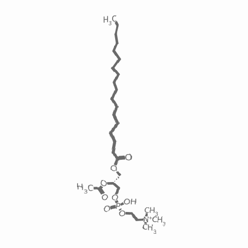 CCCCCCCCCCCCCCCCCC(=O)OC[C@H](COP(=O)(O)OCC[N+](C)(C)C)OC(C)=O